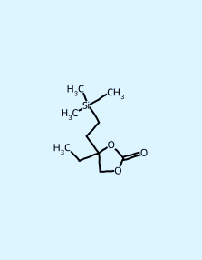 CCC1(CC[Si](C)(C)C)COC(=O)O1